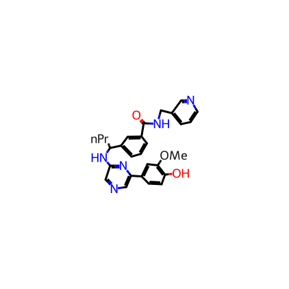 CCCC(Nc1cncc(-c2ccc(O)c(OC)c2)n1)c1cccc(C(=O)NCc2cccnc2)c1